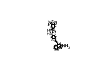 Nc1cc(C#Cc2ccc(NC(=O)Nc3ccc(Cl)c(C(F)(F)F)c3)cc2)c2ccccc2n1